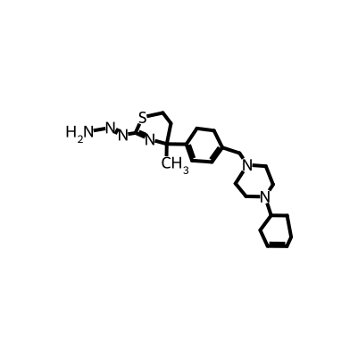 CC1(C2=CC=C(CN3CCN(C4CC=CCC4)CC3)CC2)CCSC(N=NN)=N1